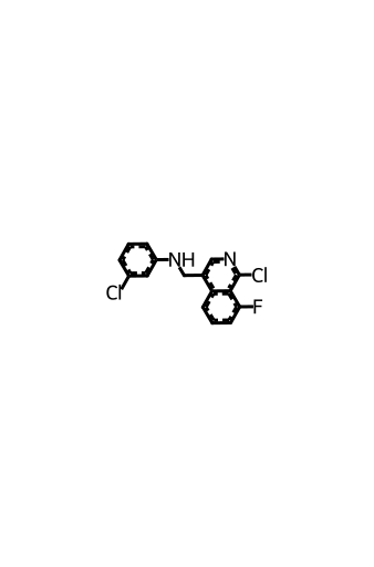 Fc1cccc2c(CNc3cccc(Cl)c3)cnc(Cl)c12